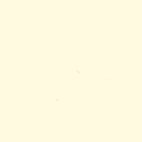 COC(=O)c1c(C)cc(-c2cccc(OC)c2F)nc1Cc1ccccc1Cl